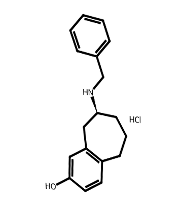 Cl.Oc1ccc2c(c1)C[C@@H](NCc1ccccc1)CCC2